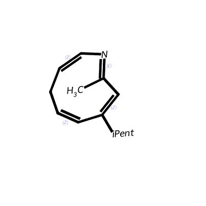 CCCC(C)C1=C/C(C)=N/C=C\C/C=C\1